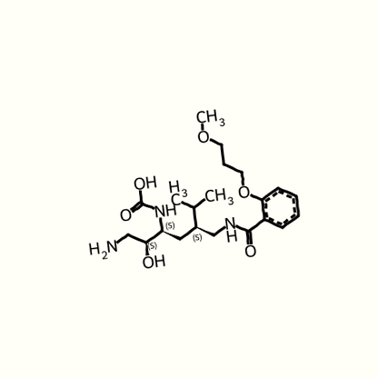 COCCCOc1ccccc1C(=O)NC[C@@H](C[C@H](NC(=O)O)[C@@H](O)CN)C(C)C